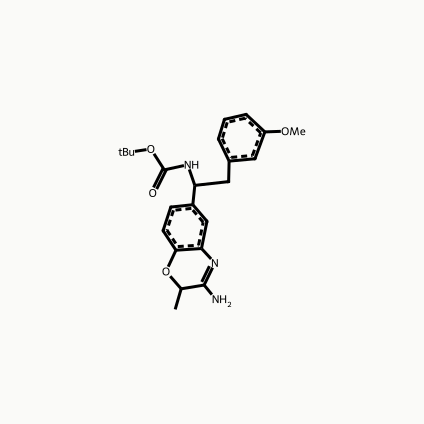 COc1cccc(CC(NC(=O)OC(C)(C)C)c2ccc3c(c2)N=C(N)C(C)O3)c1